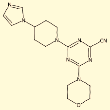 N#Cc1nc(N2CCOCC2)nc(N2CCC(n3ccnc3)CC2)n1